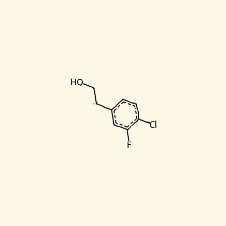 OC[CH]c1ccc(Cl)c(F)c1